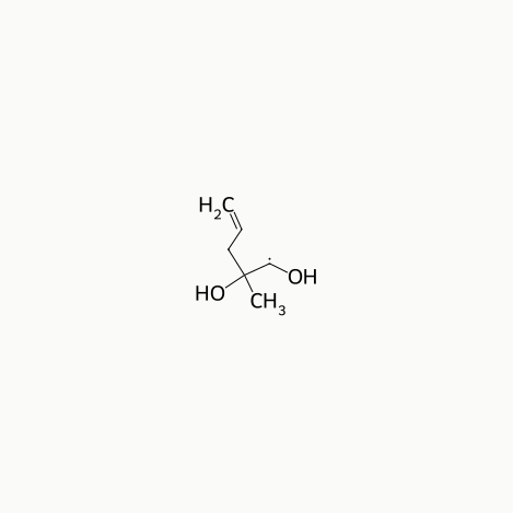 C=CCC(C)(O)[CH]O